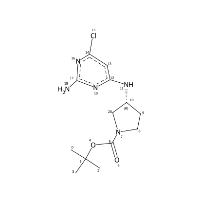 CC(C)(C)OC(=O)N1CC[C@@H](Nc2cc(Cl)nc(N)n2)C1